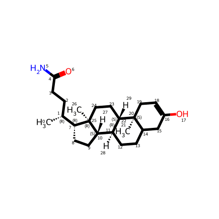 C[C@H](CCC(N)=O)[C@H]1CC[C@H]2[C@@H]3CCC4CC(O)=CC[C@]4(C)[C@H]3CC[C@]12C